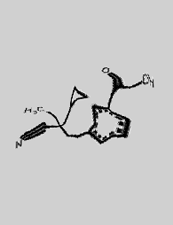 CC(C#N)(Cc1cccc(C(=O)O)c1)C1CC1